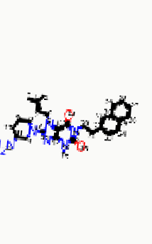 CC(C)=CCn1c(N2CCCC(N)C2)nc2c1c(=O)n(CCc1ccc3ccccc3c1)c(=O)n2C